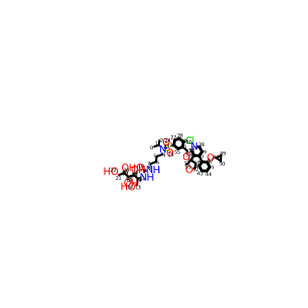 CC(C)N(CCCCNC(=O)N[C@@H](CO)[C@@H](O)[C@H](O)[C@H](O)CO)S(=O)(=O)c1ccc(Cl)c(COC2(c3cnccc3-c3ccccc3OC3CC3)CCOC2)c1